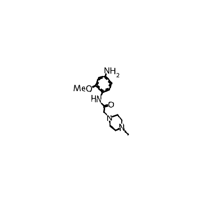 COc1cc(N)ccc1NC(=O)CN1CCN(C)CC1